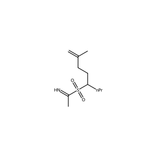 C=C(C)CCC(CCC)S(=O)(=O)C(C)=N